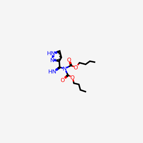 CCCCOC(=O)N(C(=N)c1cc[nH]n1)C(=O)OCCCC